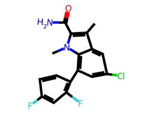 Cc1c(C(N)=O)n(C)c2c(-c3ccc(F)cc3F)cc(Cl)cc12